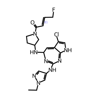 CCn1cc(NC2=NC(NC3CCN(C(=O)/C=C/CF)C3)C=c3c(Cl)c[nH]c3=N2)cn1